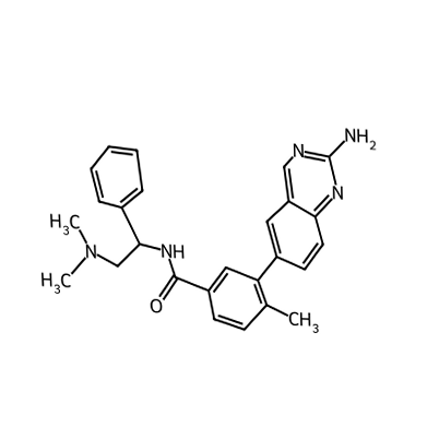 Cc1ccc(C(=O)NC(CN(C)C)c2ccccc2)cc1-c1ccc2nc(N)ncc2c1